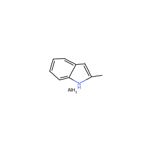 Cc1[c]c2ccccc2[nH]1.[AlH3]